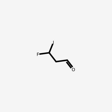 O=CCC(F)I